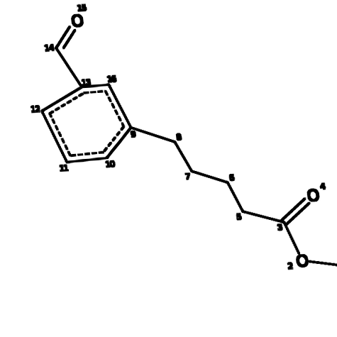 CCOC(=O)CCCCc1cccc(C=O)c1